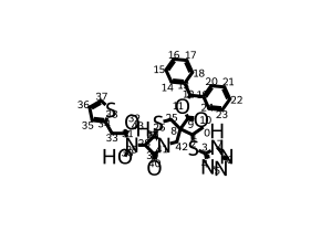 CC(Sc1nnn[nH]1)C1(C(=O)OC(c2ccccc2)c2ccccc2)CS[C@@H]2C(N(O)C(=O)Cc3cccs3)C(=O)N2C1